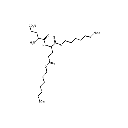 CCCCCCCCCCCCCCCCOC(=O)CCC(NC(=O)C(N)CCC(=O)O)C(=O)OCCCCCCCCCCCCCCCC